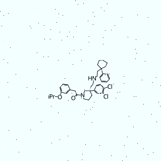 CC(C)Oc1cccc(CC(=O)N2CCC[C@](CCNCCC3(c4ccccc4)CCCCC3)(c3ccc(Cl)c(Cl)c3)C2)c1